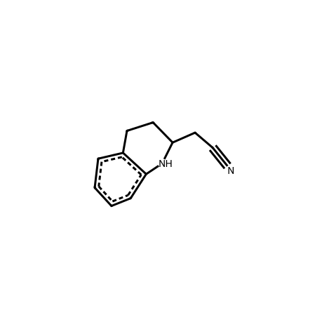 N#CCC1CCc2ccccc2N1